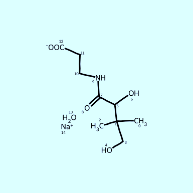 CC(C)(CO)C(O)C(=O)NCCC(=O)[O-].O.[Na+]